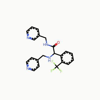 O=C(NCc1cccnc1)C(NCc1ccncc1)c1ccccc1C(F)(F)F